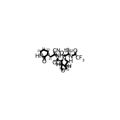 CC(C)(C)[C@H](NC(=O)C(F)(F)F)C(=O)N1C[C@@H]2COC[C@@H]2[C@H]1C(=O)N[C@H](C#N)C[C@@H]1CCCNC1=O